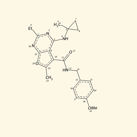 CCc1nc(NC2(C)CC2)c2c(C(=O)NCc3ccc(OC)cc3)c(C)oc2n1